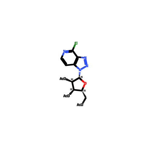 CC(=O)OC[C@H]1O[C@@H](n2nnc3c(Cl)nccc32)[C@H](OC(C)=O)[C@@H]1OC(C)=O